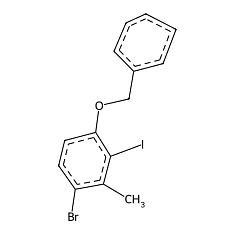 Cc1c(Br)ccc(OCc2ccccc2)c1I